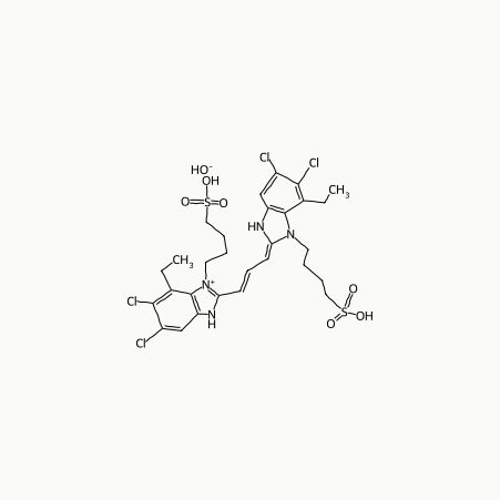 CCc1c(Cl)c(Cl)cc2c1N(CCCCS(=O)(=O)O)C(=CC=Cc1[nH]c3cc(Cl)c(Cl)c(CC)c3[n+]1CCCCS(=O)(=O)O)N2.[OH-]